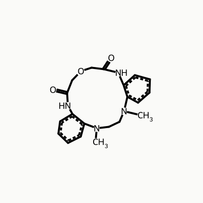 CN1CCN(C)c2ccccc2NC(=O)COCC(=O)Nc2ccccc21